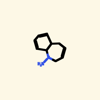 NN1CC=CCC2C=CC=CC21